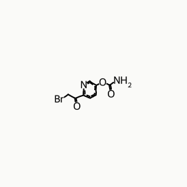 NC(=O)Oc1ccc(C(=O)CBr)nc1